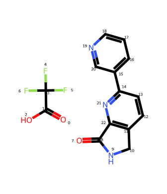 O=C(O)C(F)(F)F.O=C1NCc2ccc(-c3cccnc3)nc21